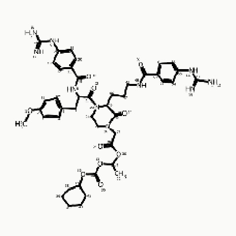 COc1ccc(CC(NC(=O)c2ccc(NC(=N)N)cc2)C(=O)N2CCN(CC(=O)OC(C)OC(=O)OC3CCCCC3)C(=O)C2CCCNC(=O)c2ccc(NC(=N)N)cc2)cc1